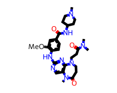 COc1cc(C(=O)NC2CCN(C)CC2)ccc1Nc1ncc2c(n1)N(CCC(=O)N(C)C)CCC(=O)N2C